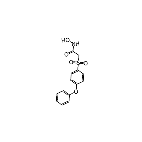 O=C(CS(=O)(=O)c1ccc(Oc2ccccc2)cc1)NO